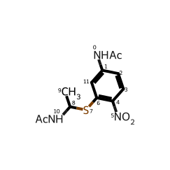 CC(=O)Nc1ccc([N+](=O)[O-])c(SC(C)NC(C)=O)c1